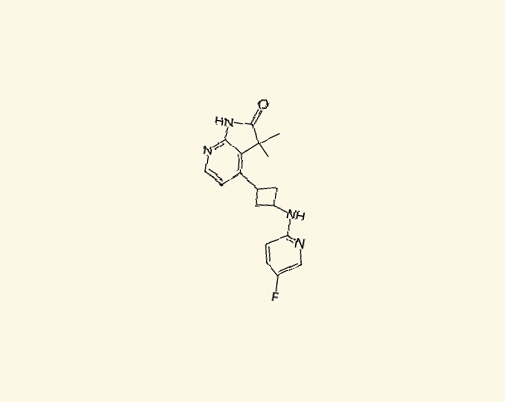 CC1(C)C(=O)Nc2nccc(C3CC(Nc4ccc(F)cn4)C3)c21